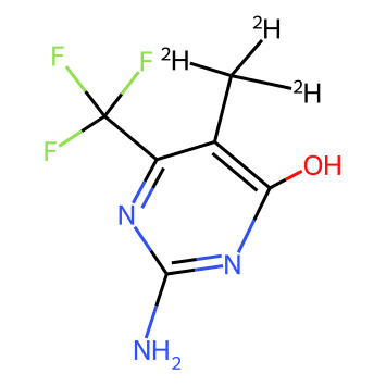 [2H]C([2H])([2H])c1c(O)nc(N)nc1C(F)(F)F